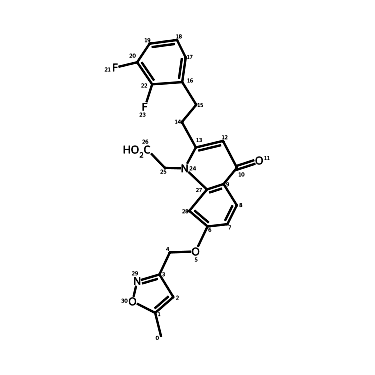 Cc1cc(COc2ccc3c(=O)cc(CCc4cccc(F)c4F)n(CC(=O)O)c3c2)no1